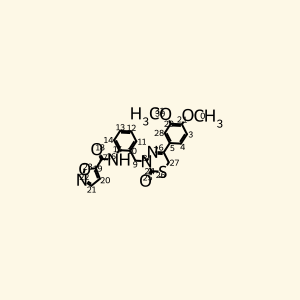 COc1ccc(C2=NN(Cc3ccccc3NC(=O)c3ccno3)C(=O)SC2)cc1OC